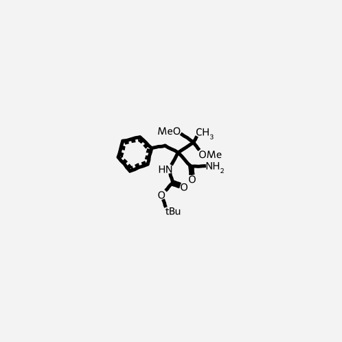 COC(C)(OC)C(Cc1ccccc1)(NC(=O)OC(C)(C)C)C(N)=O